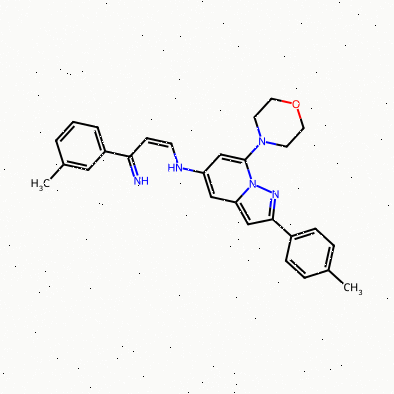 Cc1ccc(-c2cc3cc(N/C=C\C(=N)c4cccc(C)c4)cc(N4CCOCC4)n3n2)cc1